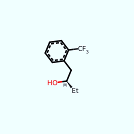 CC[C@@H](O)Cc1ccccc1C(F)(F)F